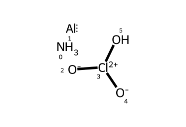 N.[Al].[O-][Cl+2]([O-])O